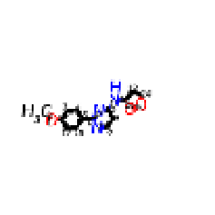 COc1ccc(-c2nccc(NC3=CCOO3)n2)cc1